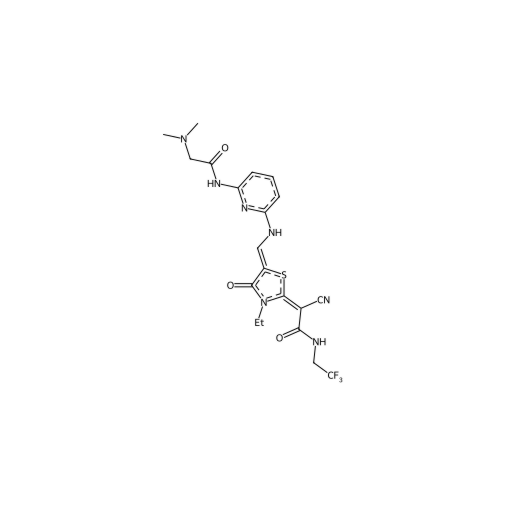 CCn1c(=C(C#N)C(=O)NCC(F)(F)F)sc(=CNc2cccc(NC(=O)CN(C)C)n2)c1=O